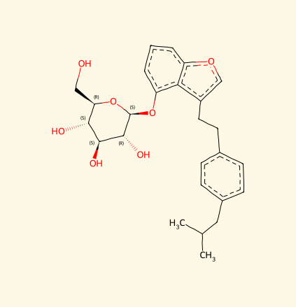 CC(C)Cc1ccc(CCc2coc3cccc(O[C@@H]4O[C@H](CO)[C@@H](O)[C@H](O)[C@H]4O)c23)cc1